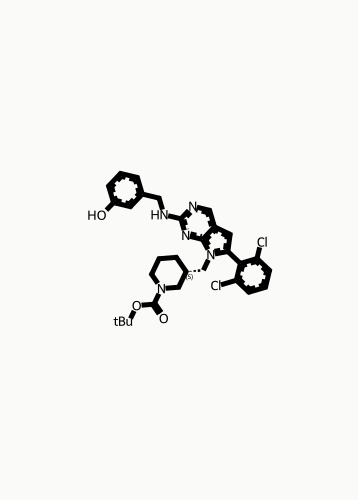 CC(C)(C)OC(=O)N1CCC[C@H](Cn2c(-c3c(Cl)cccc3Cl)cc3cnc(NCc4cccc(O)c4)nc32)C1